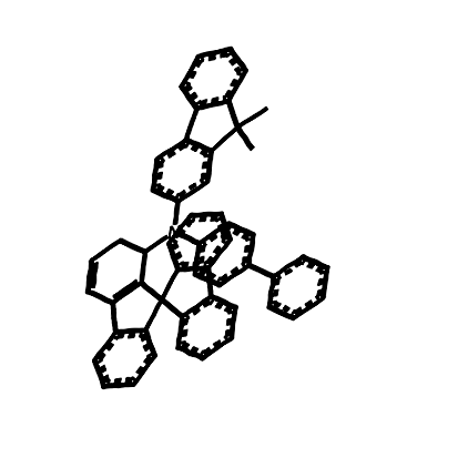 CC1(C)c2ccccc2-c2ccc(N(c3ccc(-c4ccccc4)cc3)C3CC=CC4=C3C3(c5ccccc54)c4ccccc4-c4ccccc43)cc21